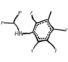 Cc1c(F)c(F)c(F)c(NC(F)F)c1F